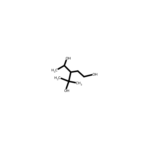 CC(O)C(CCO)C(C)(C)O